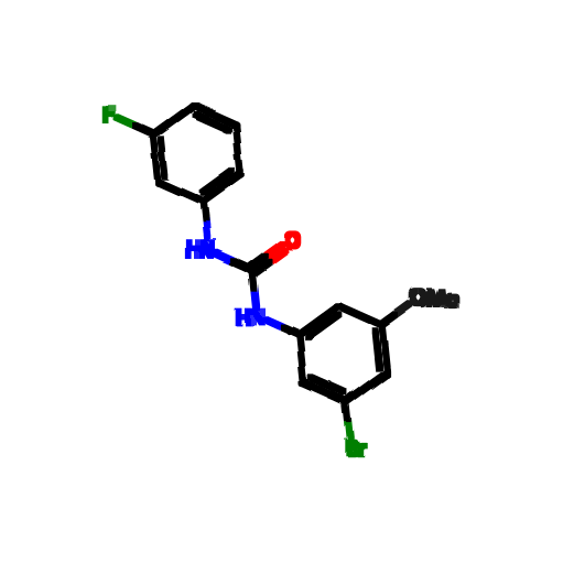 COc1cc(Br)cc(NC(=O)Nc2cccc(F)c2)c1